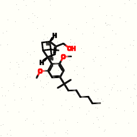 CCCCCCC(C)(C)c1cc(OC)c([C@H]2C=C(CO)[C@H]3CC2C3(C)C)c(OC)c1